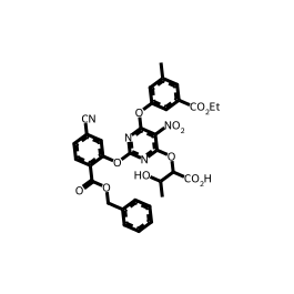 CCOC(=O)c1cc(C)cc(Oc2nc(Oc3cc(C#N)ccc3C(=O)OCc3ccccc3)nc(OC(C(=O)O)C(C)O)c2[N+](=O)[O-])c1